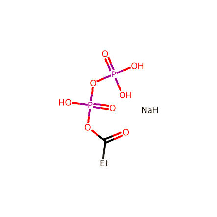 CCC(=O)OP(=O)(O)OP(=O)(O)O.[NaH]